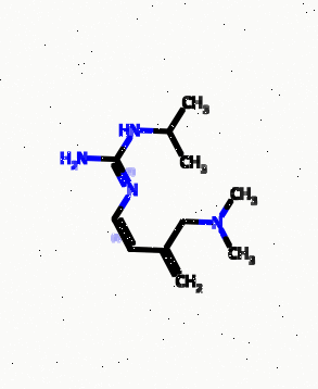 C=C(/C=C\N=C(/N)NC(C)C)CN(C)C